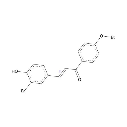 CCOc1ccc(C(=O)/C=C/c2ccc(O)c(Br)c2)cc1